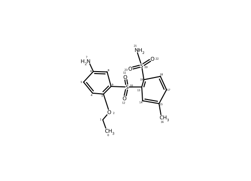 CCOc1ccc(N)cc1S(=O)(=O)c1cc(C)ccc1S(N)(=O)=O